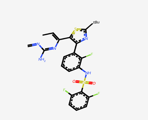 C=N/C(N)=N\C(=C/C)c1sc(C(C)(C)C)nc1-c1cccc(NS(=O)(=O)c2c(F)cccc2F)c1F